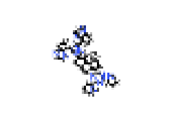 c1ccc(-c2nc(-c3ccccn3)nc(-c3ccc4ccc5c(-c6nc(-c7cccc8nccnc78)nc(-c7cccc8nccnc78)n6)ccc6ccc3c4c65)n2)nc1